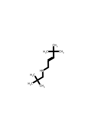 CC(C)(C)/C=C/CNCC(C)(C)C